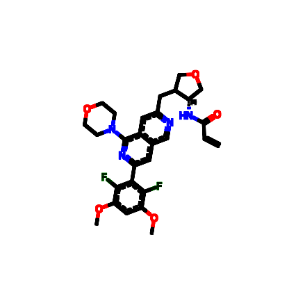 C=CC(=O)N[C@H]1COCC1Cc1cc2c(N3CCOCC3)nc(-c3c(F)c(OC)cc(OC)c3F)cc2cn1